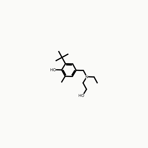 CCN(CCO)Cc1cc(C)c(O)c(C(C)(C)C)c1